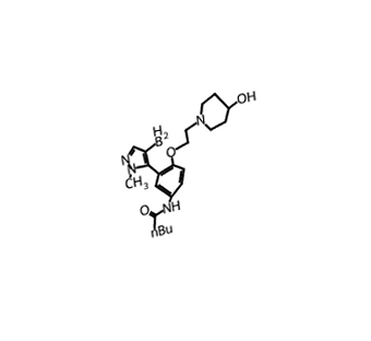 Bc1cnn(C)c1-c1cc(NC(=O)CCCC)ccc1OCCN1CCC(O)CC1